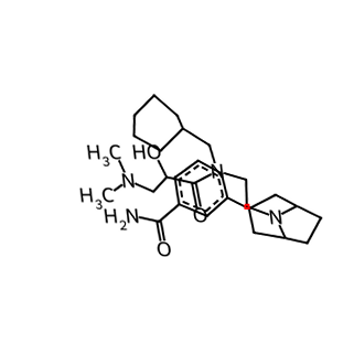 CN(C)CC(O)C(=O)N(CCN1C2CCC1CC(c1cccc(C(N)=O)c1)C2)CC1CCCCC1